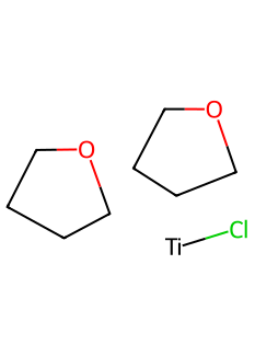 C1CCOC1.C1CCOC1.[Cl][Ti]